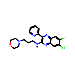 Clc1cc2nc(NCCCN3CCOCC3)c(-c3ccccn3)nc2cc1Cl